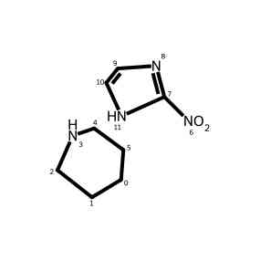 C1CCNCC1.O=[N+]([O-])c1ncc[nH]1